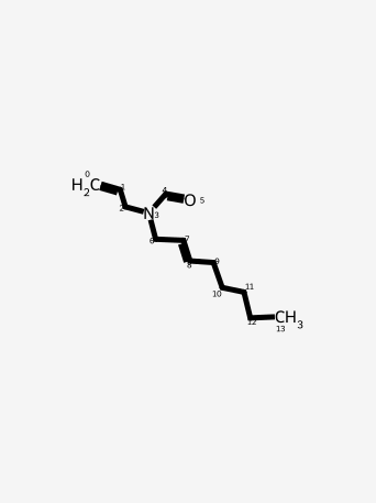 C=CCN([C]=O)CC=CCCCCC